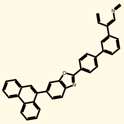 C=C/C(=C\N=C)c1cccc(-c2ccc(-c3nc4ccc(-c5cc6ccccc6c6ccccc56)cc4o3)cc2)c1